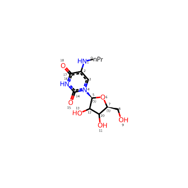 CCCNc1cn([C@H]2O[C@@H](CO)C(O)C2O)c(=O)[nH]c1=O